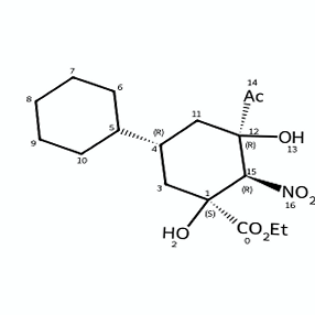 CCOC(=O)[C@]1(O)C[C@H](C2CCCCC2)C[C@](O)(C(C)=O)[C@H]1[N+](=O)[O-]